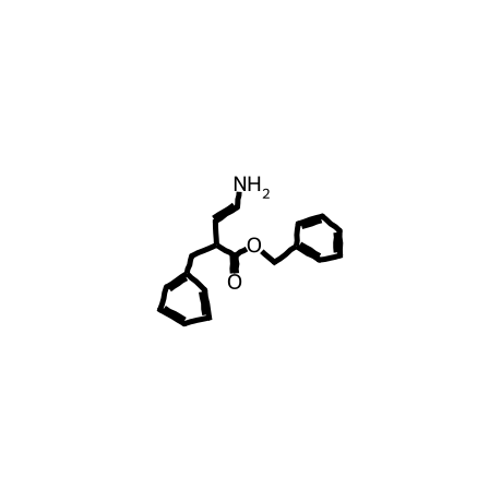 NC=CC(Cc1ccccc1)C(=O)OCc1ccccc1